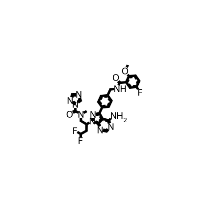 COc1ccc(F)cc1C(=O)NCc1ccc(-c2nn(C(CC(F)F)CN(C)C(=O)n3cncn3)c3ncnc(N)c23)cc1